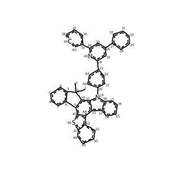 CC1(C)c2ccccc2-c2c1c1c(c3ccccc3n1-c1ccc(-c3cc(-c4ccccc4)cc(-c4ccccc4)n3)cc1)c1c2sc2ccccc21